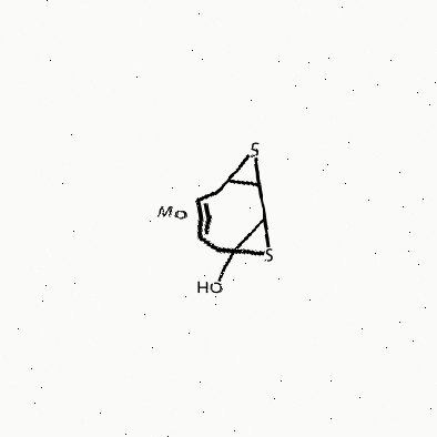 OC12C=CC3SC3C1S2.[Mo]